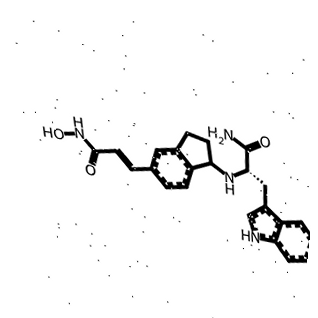 NC(=O)[C@H](Cc1c[nH]c2ccccc12)NC1CCc2cc(C=CC(=O)NO)ccc21